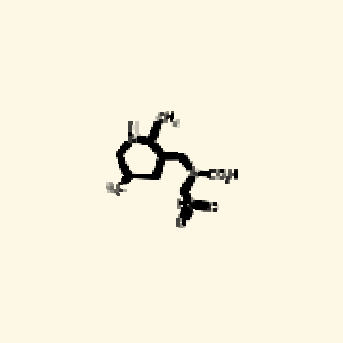 CC1CNC(C)C(CN(C[SH](=O)=O)C(=O)O)C1